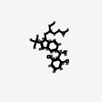 CCC(CCOC)Cn1c(C(C)(C)C)nc2cc([S+]([O-])c3c(Cl)cncc3Cl)ccc21